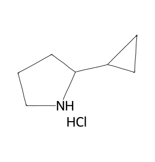 C1CNC(C2CC2)C1.Cl